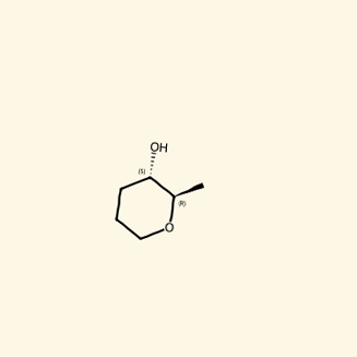 C[C@H]1OCCC[C@@H]1O